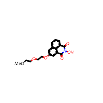 COCCOCCOc1cc2c3c(cccc3c1)C(=O)N(O)C2=O